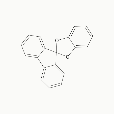 c1ccc2c(c1)OC1(O2)c2ccccc2-c2ccccc21